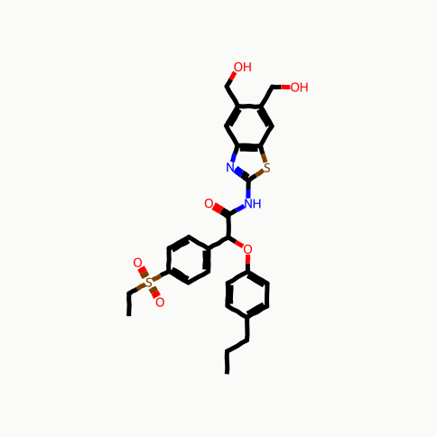 CCCc1ccc(OC(C(=O)Nc2nc3cc(CO)c(CO)cc3s2)c2ccc(S(=O)(=O)CC)cc2)cc1